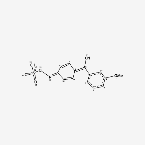 COc1cccc(C(C#N)=C2C=CC(=NOS(C)(=O)=O)C=C2)c1